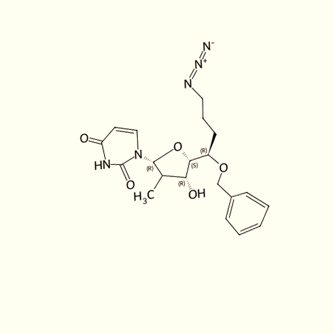 CC1[C@@H](O)[C@@H]([C@@H](CCCN=[N+]=[N-])OCc2ccccc2)O[C@H]1n1ccc(=O)[nH]c1=O